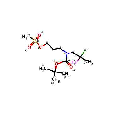 CC(F)(P)CN(CCCOS(C)(=O)=O)C(=O)OC(C)(C)C